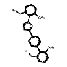 COc1cccc(OC(C)C)c1-c1ccc(-c2ccc(-c3c(OC)cccc3OC(C)C)s2)nc1